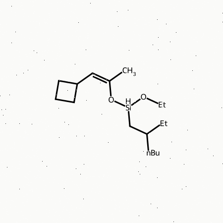 CCCCC(CC)C[SiH](OCC)OC(C)=CC1CCC1